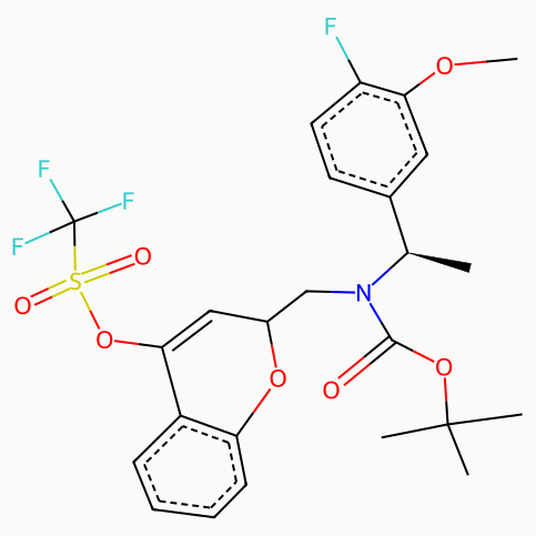 COc1cc([C@@H](C)N(CC2C=C(OS(=O)(=O)C(F)(F)F)c3ccccc3O2)C(=O)OC(C)(C)C)ccc1F